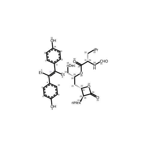 CC/C(=C(/CC)c1ccc(O)cc1)c1ccc(O)cc1.CCCCCCCCCCC[C@@H](C[C@@H]1OC(=O)[C@H]1CCCCCC)OC(=O)[C@H](CC(C)C)NC=O